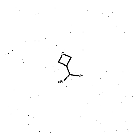 CCCC(CCC)C1COC1